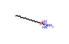 CCCCCCCCCCCCCCCCCCOC(=O)CNC(=N)N